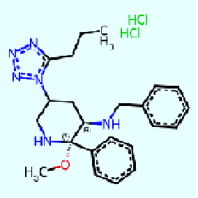 CCCc1nnnn1C1CN[C@](OC)(c2ccccc2)[C@H](NCc2ccccc2)C1.Cl.Cl